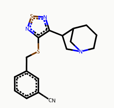 N#Cc1cccc(CSc2nsnc2C2CN3CCCC2C3)c1